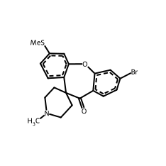 CSc1ccc2c(c1)Oc1cc(Br)ccc1C(=O)C21CCN(C)CC1